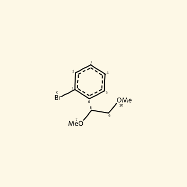 Brc1ccccc1.COCCOC